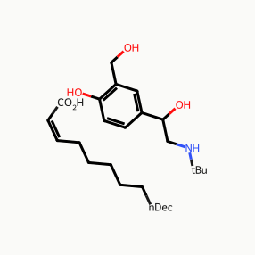 CC(C)(C)NCC(O)c1ccc(O)c(CO)c1.CCCCCCCCCCCCCCC/C=C\C(=O)O